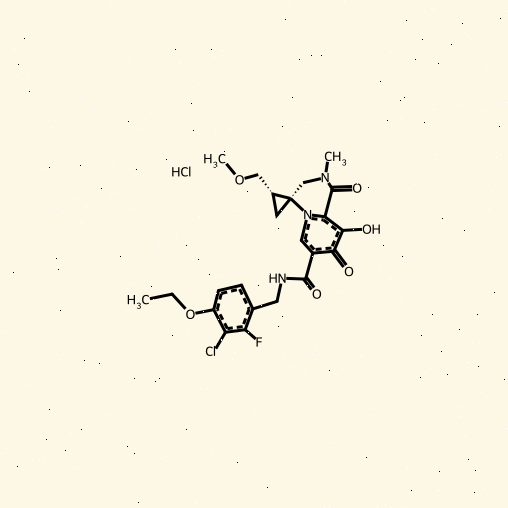 CCOc1ccc(CNC(=O)c2cn3c(c(O)c2=O)C(=O)N(C)C[C@@]32C[C@@H]2COC)c(F)c1Cl.Cl